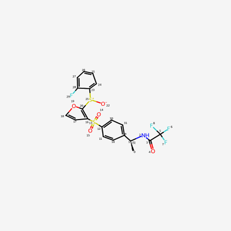 C[C@H](NC(=O)C(F)(F)F)c1ccc(S(=O)(=O)c2ccoc2[S+]([O-])c2ccccc2F)cc1